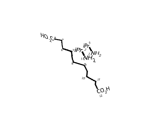 CC(C)N.CC(C)N.O=C(O)CCCCCCCC(=O)O